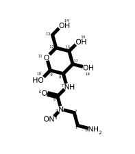 NCCN(N=O)C(=O)NC1C(O)OC(CO)C(O)C1O